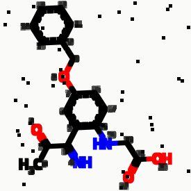 CC(=O)C(=N)c1cc(OCc2ccccc2)ccc1NCC(=O)O